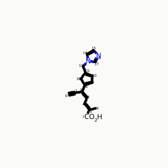 C#C/C(=C\C=C(/C)C(=O)O)C1=CC=C(Cn2ccnc2)C1